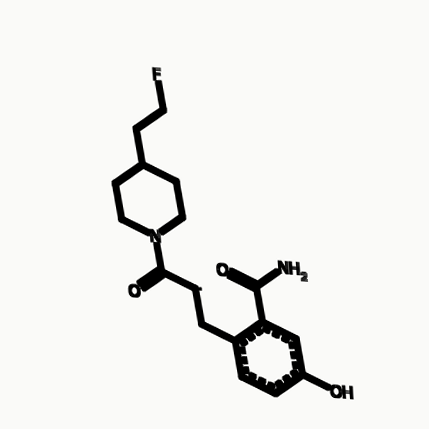 NC(=O)c1cc(O)ccc1C[CH]C(=O)N1CCC(CCF)CC1